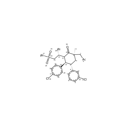 CC(=O)C[C@@]1(C)C[C@H](c2cccc(Cl)c2)[C@@H](c2ccc(Cl)cc2)C([C@H](CS(=O)(=O)C(C)C)C(C)C)C1=O